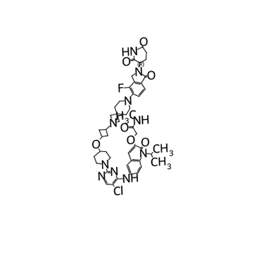 CNC(=O)COc1cc2cc(Nc3nc(N4CCC(OC5CC(N6CC7(CCN(c8ccc9c(c8F)CN([C@@H]8CCC(=O)NC8=O)C9=O)CC7)C6)C5)CC4)ncc3Cl)ccc2n(C(C)C)c1=O